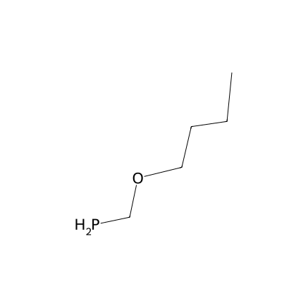 CCCCOCP